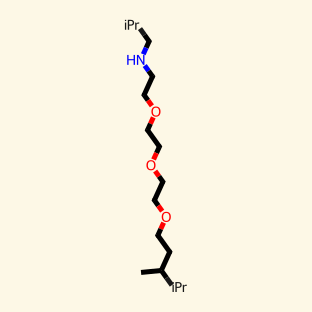 CC(C)CNCCOCCOCCOCCC(C)C(C)C